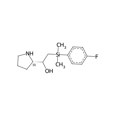 C[Si](C)(CC(O)[C@@H]1CCCN1)c1ccc(F)cc1